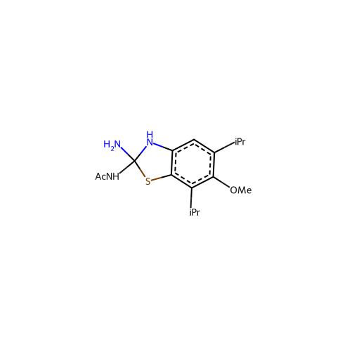 COc1c(C(C)C)cc2c(c1C(C)C)SC(N)(NC(C)=O)N2